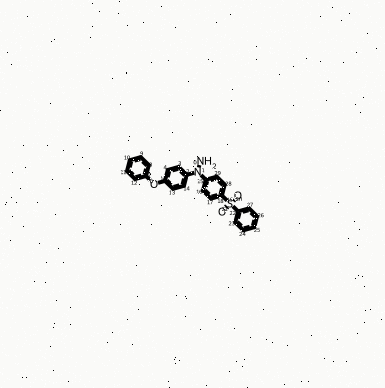 NN(c1ccc(Oc2ccccc2)cc1)c1ccc(S(=O)(=O)c2ccccc2)cc1